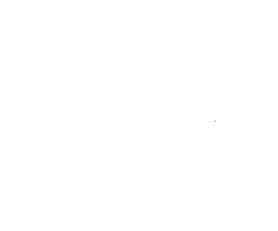 CC1CCC(O)C1CCCCCCC(O)O